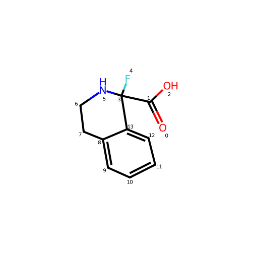 O=C(O)C1(F)NCCc2ccccc21